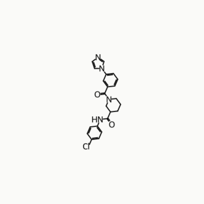 O=C(Nc1ccc(Cl)cc1)C1CCCN(C(=O)c2cccc(-n3ccnc3)c2)C1